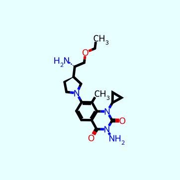 CCOC[C@@H](N)[C@@H]1CCN(c2ccc3c(=O)n(N)c(=O)n(C4CC4)c3c2C)C1